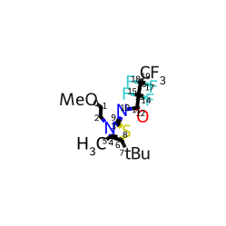 COCCn1c(C)c(C(C)(C)C)s/c1=N\C(=O)C(F)(F)C(F)(F)C(F)(F)F